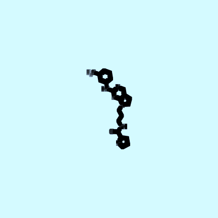 O=C(NCCCn1ccc2cnc(Nc3cccc(C(F)(F)F)c3)nc21)c1cccs1